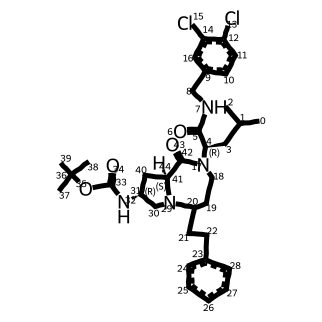 CC(C)C[C@H](C(=O)NCc1ccc(Cl)c(Cl)c1)N1CCC(CCc2ccccc2)N2C[C@H](NC(=O)OC(C)(C)C)C[C@H]2C1=O